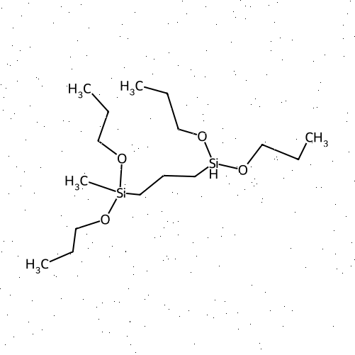 CCCO[SiH](CCC[Si](C)(OCCC)OCCC)OCCC